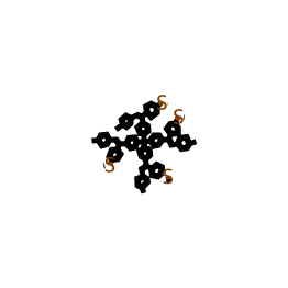 CSc1ccc(C(=Cc2ccc(C)cc2)c2cc[c]([Sn]([c]3ccc(C(=Cc4ccc(C)cc4)c4ccc(SC)cc4)cc3)([c]3ccc(C(=Cc4ccc(C)cc4)c4ccc(SC)cc4)cc3)[c]3ccc(C(=Cc4ccc(C)cc4)c4ccc(SC)cc4)cc3)cc2)cc1